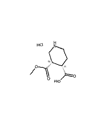 COC(=O)[C@@H]1CNCC[C@@H]1C(=O)O.Cl